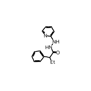 CCC(C(=O)NNc1ccccn1)c1ccccc1